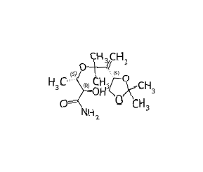 C=C([C@H]1COC(C)(C)O1)C(C)(C)O[C@@H](C)[C@@H](O)C(N)=O